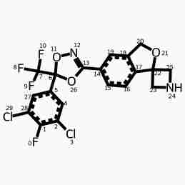 Fc1c(Cl)cc(C2(C(F)(F)F)ON=C(c3ccc4c(c3)COC43CNC3)O2)cc1Cl